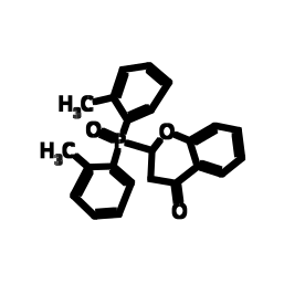 Cc1ccccc1P(=O)(c1ccccc1C)C1CC(=O)c2ccccc2O1